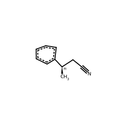 C[C@H](CC#N)c1ccccc1